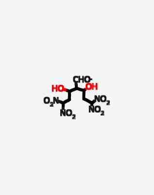 O=[C]C(C(O)CC([N+](=O)[O-])[N+](=O)[O-])C(O)CC([N+](=O)[O-])[N+](=O)[O-]